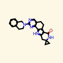 O=C1NC2(CC2)Cc2[nH]c3c(c21)CCc1cnc(N2CCc4ccccc4C2)nc1-3